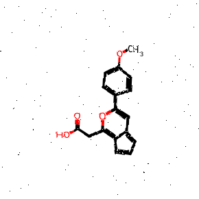 COc1ccc(-c2cc3cccc-3c(CC(=O)O)o2)cc1